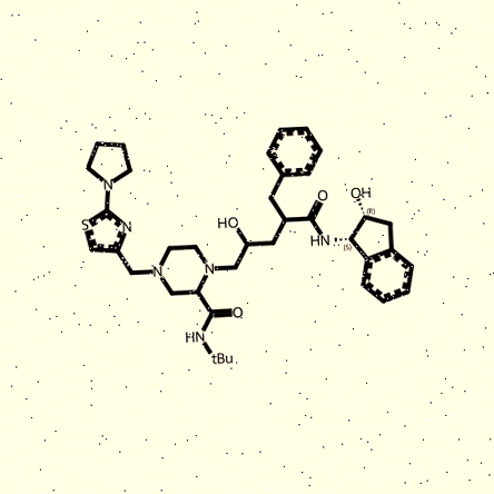 CC(C)(C)NC(=O)C1CN(Cc2csc(N3CCCC3)n2)CCN1CC(O)CC(Cc1ccccc1)C(=O)N[C@H]1c2ccccc2C[C@H]1O